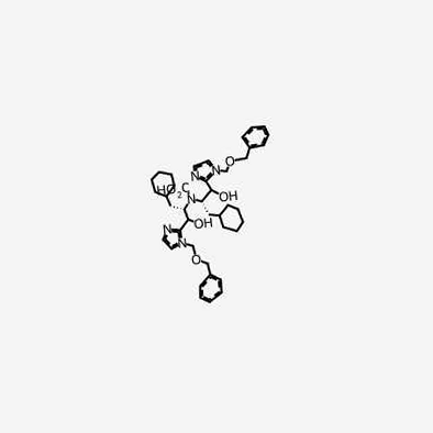 O=C(O)N([C@@H](CC1CCCCC1)C(O)c1nccn1COCc1ccccc1)[C@@H](CC1CCCCC1)C(O)c1nccn1COCc1ccccc1